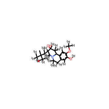 [2H]Oc1c([2H])c2c(c([2H])c1OC([2H])([2H])[2H])C1N(C([2H])([2H])C2([2H])[2H])C([2H])([2H])C([2H])(C([2H])([2H])C(C)(C([2H])([2H])[2H])C([2H])([2H])[2H])C([2H])(O)C1([2H])[2H]